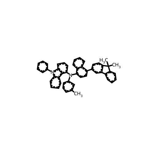 Cc1cccc(N(c2ccc(-c3ccc4c(c3)-c3ccccc3C4(C)C)c3ccccc23)c2cccc3c2c2ccccc2n3-c2ccccc2)c1